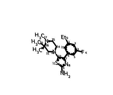 CCc1cc(F)cc(-c2nc(N)sc2N2CCN(C)C(C)(C)C2)c1